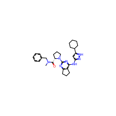 CN(Cc1ccccc1)C(=O)[C@@H]1CCCN1c1nc2c(c(Nc3cc(C4CCCCC4)[nH]n3)n1)CCC2